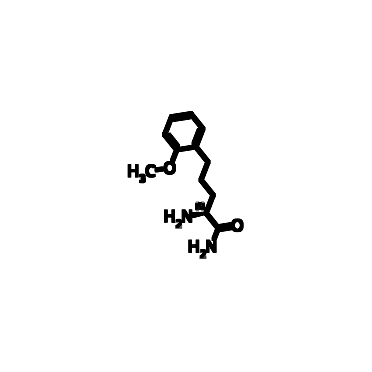 COc1ccccc1CCC[C@H](N)C(N)=O